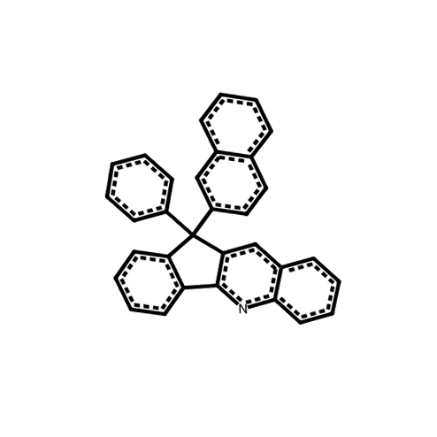 c1ccc(C2(c3ccc4ccccc4c3)c3ccccc3-c3nc4ccccc4cc32)cc1